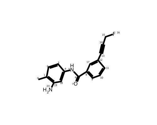 Cc1ccc(NC(=O)c2cccc(C#CCF)c2)cc1N